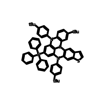 CC(C)(C)c1ccc(N2c3ccc(C(C)(C)C)cc3B3c4cc5ccsc5cc4N(c4ccc(C(C)(C)C)cc4)c4cc([Si](c5ccccc5)(c5ccccc5)c5ccccc5)cc2c43)cc1